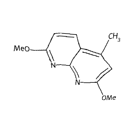 COc1ccc2c(C)cc(OC)nc2n1